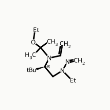 C=CN([C@@H](CN(CC)N=C)C(C)(C)C)C(C)(C)OCC